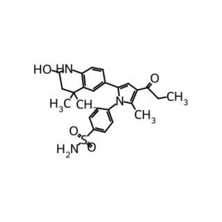 CCC(=O)c1cc(-c2ccc3c(c2)C(C)(C)CC(O)N3)n(-c2ccc(S(N)(=O)=O)cc2)c1C